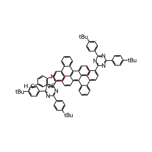 Cc1ccc2nc(-c3ccc4c(-c5ccccc5-c5ccc(-c6nc(-c7ccc(C(C)(C)C)cc7)nc(-c7ccc(C(C)(C)C)cc7)n6)cc5)c5ccccc5c(-c5ccccc5-c5ccc(-c6nc(-c7ccc(C(C)(C)C)cc7)nc(-c7ccc(C(C)(C)C)cc7)n6)cc5)c4c3)sc2c1